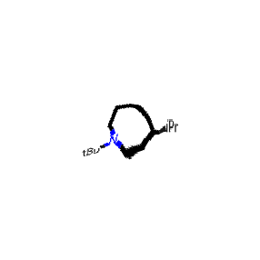 CC(C)C1CCCN(C(C)(C)C)CC1